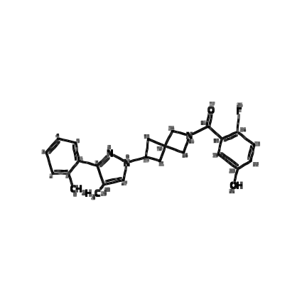 Cc1ccccc1-c1nn(C2CC3(C2)CN(C(=O)c2cc(O)ccc2F)C3)cc1C